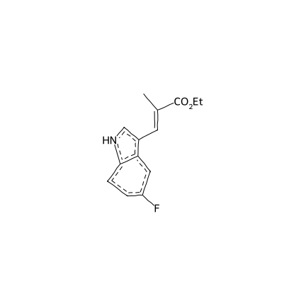 CCOC(=O)/C(C)=C/c1c[nH]c2ccc(F)cc12